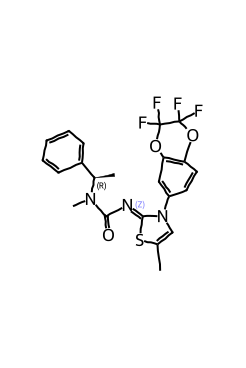 Cc1cn(-c2ccc3c(c2)OC(F)(F)C(F)(F)O3)/c(=N/C(=O)N(C)[C@H](C)c2ccccc2)s1